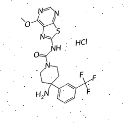 COc1ncnc2sc(NC(=O)N3CCC(N)(c4cccc(C(F)(F)F)c4)CC3)nc12.Cl